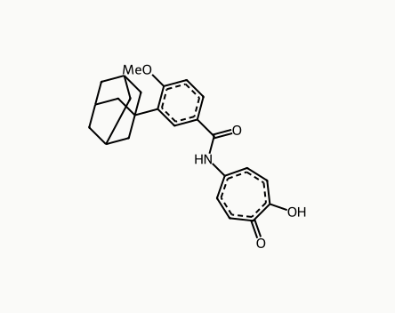 COc1ccc(C(=O)Nc2ccc(O)c(=O)cc2)cc1C12CC3CC(CC(C3)C1)C2